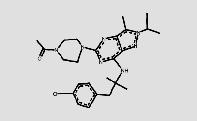 CC(=O)N1CCN(c2nc(NC(C)(C)Cc3ccc(Cl)cc3)c3nn(C(C)C)c(C)c3n2)CC1